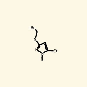 CCc1cc(SCC(C)(C)C)nn1C